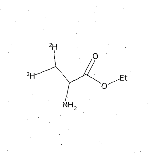 [2H]C([2H])C(N)C(=O)OCC